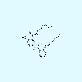 CC/C=C\CCOC(=O)c1ccccc1O.CCCCC=COc1ccccc1C(=O)O